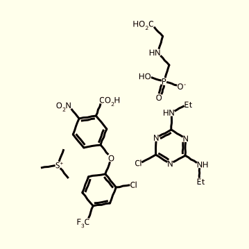 CCNc1nc(Cl)nc(NCC)n1.C[S+](C)C.O=C(O)CNCP(=O)([O-])O.O=C(O)c1cc(Oc2ccc(C(F)(F)F)cc2Cl)ccc1[N+](=O)[O-]